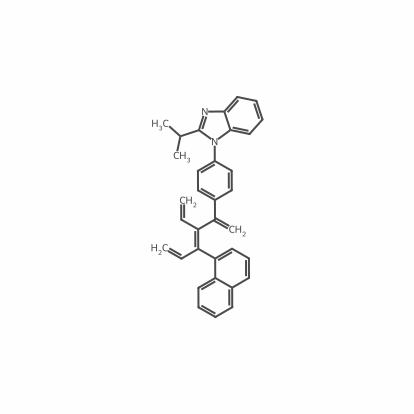 C=C/C(C(=C)c1ccc(-n2c(C(C)C)nc3ccccc32)cc1)=C(\C=C)c1cccc2ccccc12